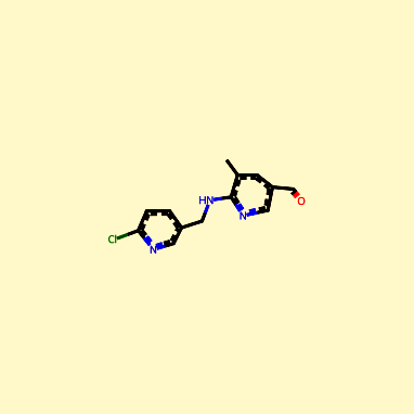 Cc1cc(C=O)cnc1NCc1ccc(Cl)nc1